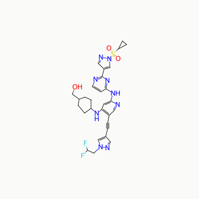 O=S(=O)(C1CC1)n1cc(-c2nccc(Nc3cc(NC4CCC(CO)CC4)c(C#Cc4cnn(CC(F)F)c4)cn3)n2)cn1